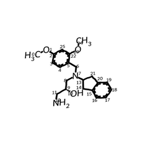 COc1ccc(CN(C[C@@H](O)CN)C2Cc3ccccc3C2)c(OC)c1